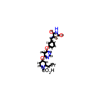 Cc1c(Oc2cccc(/C=C3\SC(=O)NC3=O)c2)ncnc1OC1CCN(C(=O)O)C(CC(C)C)C1